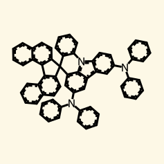 c1ccc(N(c2ccccc2)c2ccc3c(c2)c2cc(N(c4ccccc4)c4ccccc4)cc4c2n3-c2ccccc2C42c3ccc4ccccc4c3-c3c2ccc2ccccc32)cc1